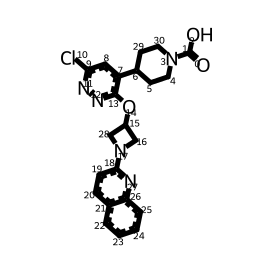 O=C(O)N1CCC(c2cc(Cl)nnc2OC2CN(c3ccc4ccccc4n3)C2)CC1